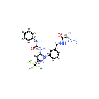 C[C@H](N)C(=O)NCc1cccc(-n2nc(C(F)(F)F)cc2NC(=O)Nc2ccccc2)c1